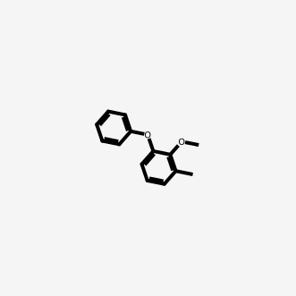 COc1c(C)cccc1Oc1ccccc1